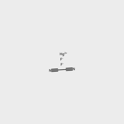 N#CC#N.[F-].[F-].[Hg+2]